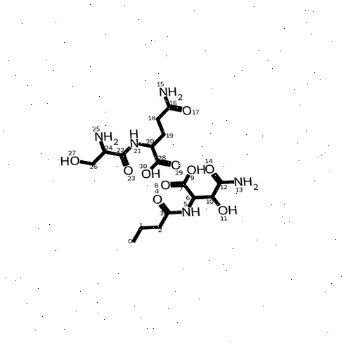 CCCC(=O)NC(C(=O)O)C(O)C(N)=O.NC(=O)CCC(NC(=O)C(N)CO)C(=O)O